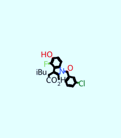 CC[C@H](C)C(C(=O)O)c1c(C)n(C(=O)c2cccc(Cl)c2)c2ccc(O)c(F)c12